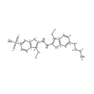 CC[n+]1c(NNc2sc3cc(S(=O)(=O)O)ccc3[n+]2CC)sc2cc(SOOO)ccc21